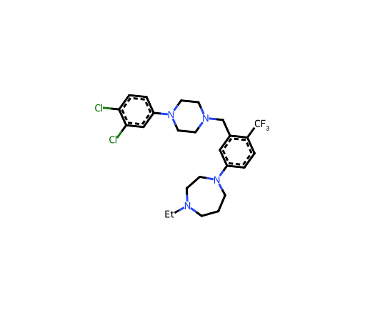 CCN1CCCN(c2ccc(C(F)(F)F)c(CN3CCN(c4ccc(Cl)c(Cl)c4)CC3)c2)CC1